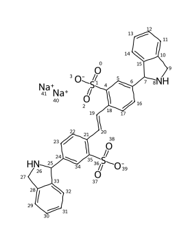 O=S(=O)([O-])c1cc(C2NCc3ccccc32)ccc1C=Cc1ccc(C2NCc3ccccc32)cc1S(=O)(=O)[O-].[Na+].[Na+]